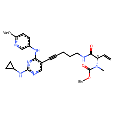 C=C[C@@H](C(=O)NCCCC#Cc1cnc(NC2CC2)nc1Nc1ccc(OC)nc1)N(C)C(=O)OC(C)(C)C